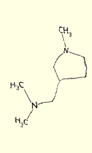 CN(C)CC1CCN(C)C1